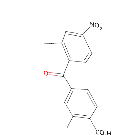 Cc1cc(C(=O)c2ccc([N+](=O)[O-])cc2C)ccc1C(=O)O